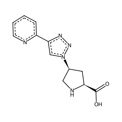 O=C(O)[C@@H]1C[C@H](n2cc(-c3ccccn3)nn2)CN1